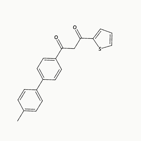 Cc1ccc(-c2ccc(C(=O)CC(=O)c3cccs3)cc2)cc1